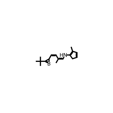 CC1=C(N/C=C(C)\C=C/C2B=C2C(C)(C)C)CC=C1